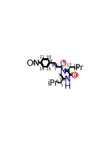 CC(C)C[C@H]1CN(C(=O)/C=C/c2ccc(N=O)cc2)[C@@H](CC(C)C)C(=O)N1